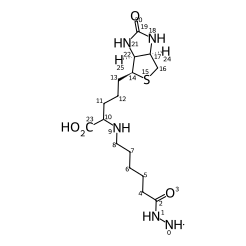 [NH]NC(=O)CCCCCNC(CCC[C@@H]1SC[C@@H]2NC(=O)N[C@@H]21)C(=O)O